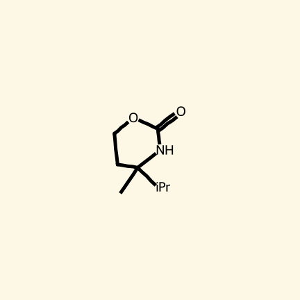 CC(C)C1(C)CCOC(=O)N1